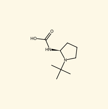 CC(C)(C)N1CCC[C@@H]1NC(=O)O